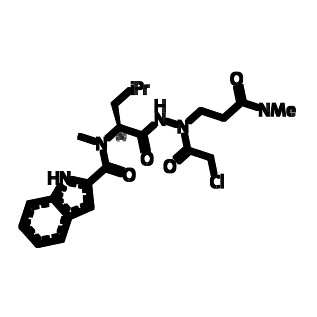 CNC(=O)CCN(NC(=O)[C@H](CC(C)C)N(C)C(=O)c1cc2ccccc2[nH]1)C(=O)CCl